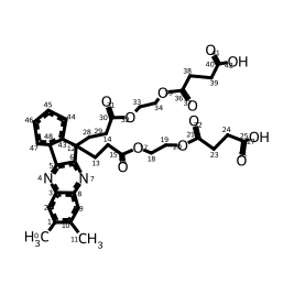 Cc1cc2nc3c(nc2cc1C)C(CCC(=O)OCCOC(=O)CCC(=O)O)(CCC(=O)OCCOC(=O)CCC(=O)O)c1ccccc1-3